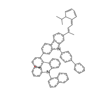 C/C(=C\C=C1\C=CC=CC1C(C)C)c1ccc2c3ccc(-c4ccccc4-c4ccccc4N(c4ccccc4)c4cccc5ccccc45)cc3n(-c3ccc(-c4ccccc4)cc3)c2c1